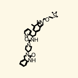 Cc1cc(CC(NC(=O)N2CCC(N3Cc4ccccc4NC3=O)CC2)c2ccccn2)cc2cn(COCC[Si](C)(C)C)nc12